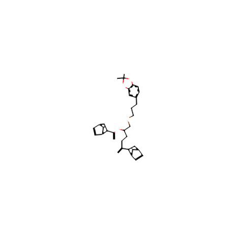 C=C(CCC(CSCCCc1ccc2c(c1)OC(C)(C)O2)OC(=C)C1CC2C=CC1C2)C1CC2C=CC1C2